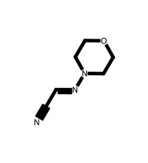 N#CC=NN1CCOCC1